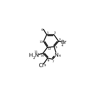 Cc1cc(Br)c2ncc(Cl)c(N)c2c1